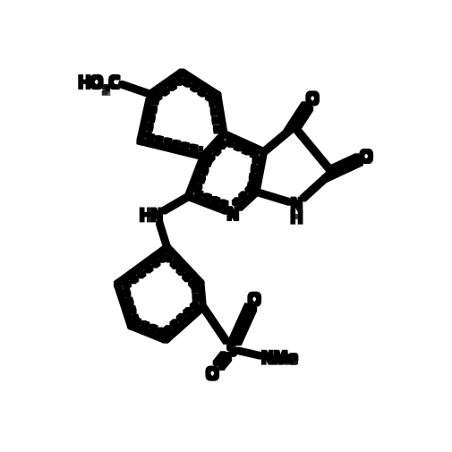 CNS(=O)(=O)c1cccc(Nc2nc3c(c4ccc(C(=O)O)cc24)C(=O)C(=O)N3)c1